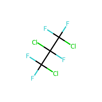 FC(F)(Cl)C(F)(Cl)C(F)(F)Cl